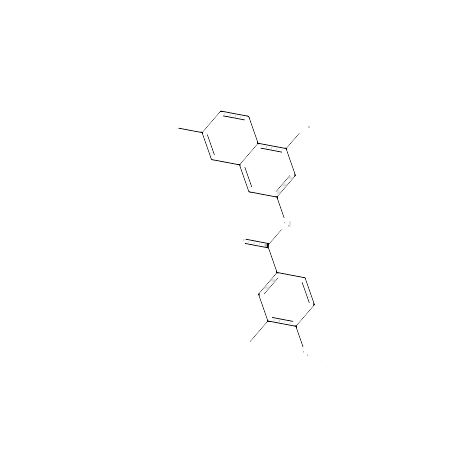 Cc1cc(C(=O)Nc2cc(O)c3ccc(S(=O)(=O)O)cc3c2)ccc1[N+](=O)[O-]